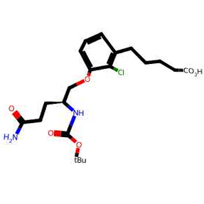 CC(C)(C)OC(=O)N[C@@H](CCC(N)=O)COc1cccc(CCCCC(=O)O)c1Cl